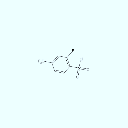 O=S(=O)(Cl)c1ccc(C(F)(F)F)cc1F